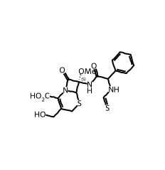 CO[C@@]1(NC(=O)C(NC=S)c2ccccc2)C(=O)N2C(C(=O)O)=C(CO)CSC21